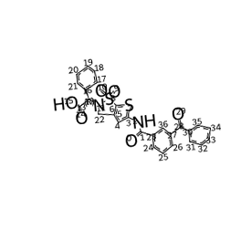 O=C(Nc1cc2c(s1)S(=O)(=O)N([C@@H](C(=O)O)c1ccccc1)C2)c1cccc(C(=O)c2ccccc2)c1